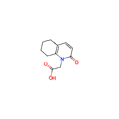 O=C(O)Cn1c2c(ccc1=O)CCCC2